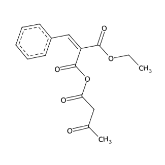 CCOC(=O)C(=Cc1ccccc1)C(=O)OC(=O)CC(C)=O